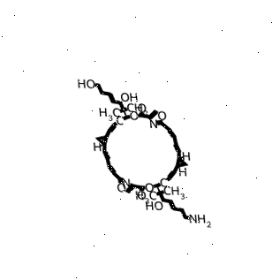 CC(C)([C@@H]1C/C=C\[C@H]2C[C@H]2/C=C/C=C\c2nc(co2)C(=O)O[C@H](C(C)(C)[C@@H](O)/C=C/CCO)C/C=C\C2C[C@@H]2/C=C/C=C\c2nc(co2)C(=O)O1)[C@@H](O)/C=C/CCN